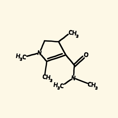 CC1=C(C(=O)N(C)C)C(C)CN1C